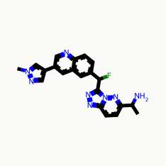 CC(N)c1ccc2nnc(C(F)c3ccc4ncc(-c5cnn(C)c5)cc4c3)n2n1